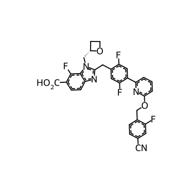 N#Cc1ccc(COc2cccc(-c3cc(F)c(Cc4nc5ccc(C(=O)O)c(F)c5n4C[C@@H]4CCO4)cc3F)n2)c(F)c1